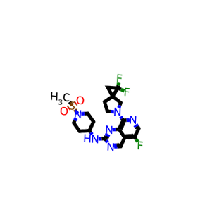 CS(=O)(=O)N1CCC(Nc2ncc3c(F)cnc(N4CCC5(C4)CC5(F)F)c3n2)CC1